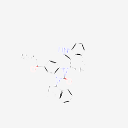 CNC(=O)c1ccc2c(c1)n(C(CC(=O)O)c1ccccc1)c(=O)n2C(C)c1c[nH]c2cccc(C)c12